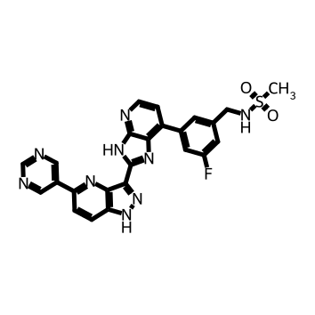 CS(=O)(=O)NCc1cc(F)cc(-c2ccnc3[nH]c(-c4n[nH]c5ccc(-c6cncnc6)nc45)nc23)c1